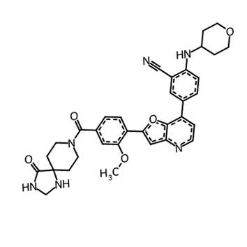 COc1cc(C(=O)N2CCC3(CC2)NCNC3=O)ccc1-c1cc2nccc(-c3ccc(NC4CCOCC4)c(C#N)c3)c2o1